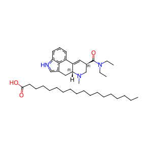 CCCCCCCCCCCCCCCCCC(=O)O.CCN(CC)C(=O)[C@@H]1C=C2c3cccc4[nH]cc(c34)C[C@H]2N(C)C1